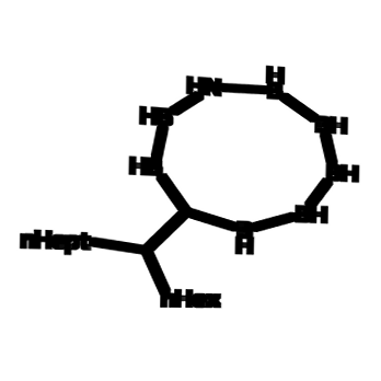 CCCCCCCC(CCCCCC)C1BBBBBNBB1